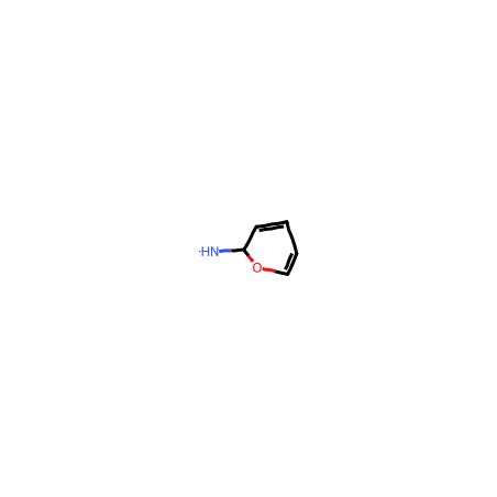 [NH]C1C=CC=CO1